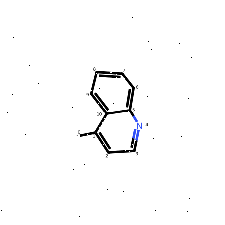 [CH2]c1ccnc2ccccc12